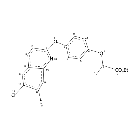 CCOC(=O)C(C)Oc1ccc(Oc2ccc3cc(Cl)c(Cl)cc3n2)cc1